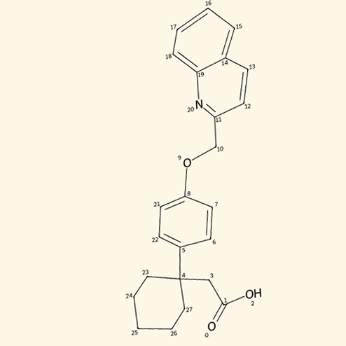 O=C(O)CC1(c2ccc(OCc3ccc4ccccc4n3)cc2)CCCCC1